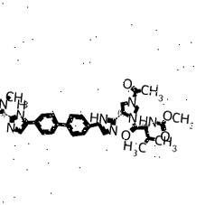 COC(=O)N[C@H](C(=O)N1CN(C(C)=O)C[C@H]1c1ncc(-c2ccc(-c3ccc(-c4cnc([C@@H]5CCCN5C)[nH]4)cc3)cc2)[nH]1)C(C)C